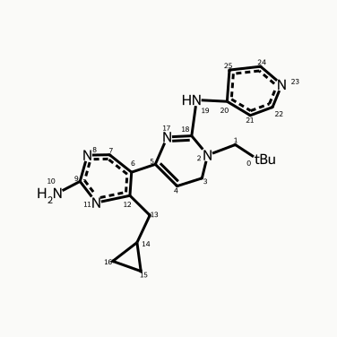 CC(C)(C)CN1CC=C(c2cnc(N)nc2CC2CC2)N=C1Nc1ccncc1